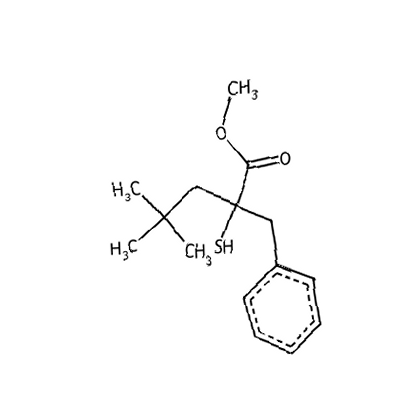 COC(=O)C(S)(Cc1ccccc1)CC(C)(C)C